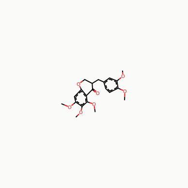 COc1ccc(CC2COc3cc(OC)c(OC)c(OC)c3C2=O)cc1OC